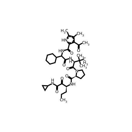 CCC[C@H](NC(=O)[C@@H]1CCCN1C(=O)[C@@H](NC(=O)C(NC(=O)c1[nH]c(C)c(C)c1C(C)=O)C1CCCCC1)C(C)(C)C)C(=O)C(=O)NC1CC1